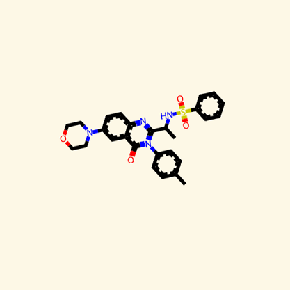 Cc1ccc(-n2c(C(C)NS(=O)(=O)c3ccccc3)nc3ccc(N4CCOCC4)cc3c2=O)cc1